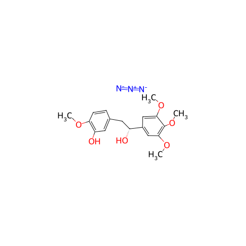 COc1ccc(C[C@@H](O)c2cc(OC)c(OC)c(OC)c2)cc1O.[N-]=[N+]=[N-]